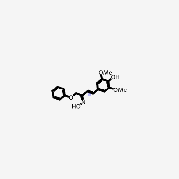 COc1cc(/C=C/C(COc2ccccc2)=NO)cc(OC)c1O